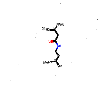 CN[C@H](C=O)CC(=O)NCC[C@H](NC)C(C)=O